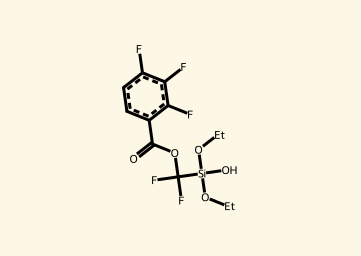 CCO[Si](O)(OCC)C(F)(F)OC(=O)c1ccc(F)c(F)c1F